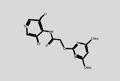 COc1cc(OC)nc(OCC(=O)Nc2c(Cl)cncc2Cl)n1